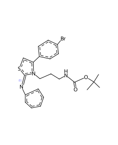 CC(C)(C)OC(=O)NCCCn1c(-c2ccc(Br)cc2)cs/c1=N/c1ccccc1